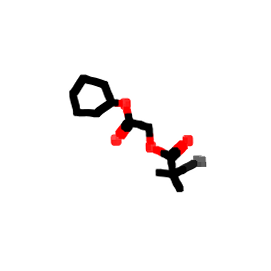 CCC(C)(C)C(=O)OCC(=O)OC1CCCCC1